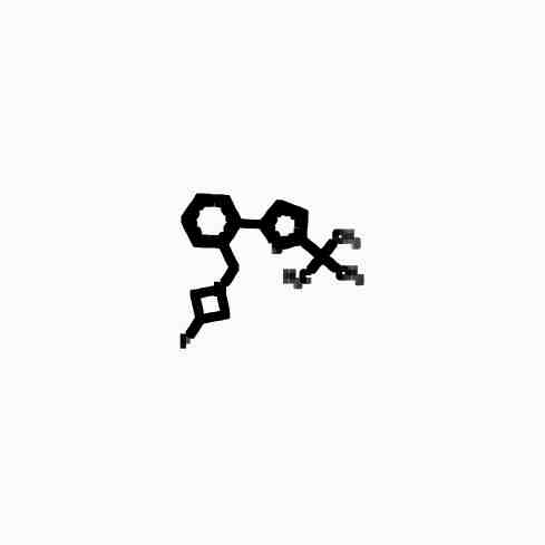 CC(C)(C)c1ccc(-c2ccccc2CN2CC(F)C2)s1